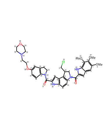 COc1cc2cc(C(=O)N3CC(CCl)c4c3ccc3[nH]c(C(=O)N5CCc6cc(OCCN7CCOCC7)ccc65)cc43)[nH]c2c(OC)c1OC